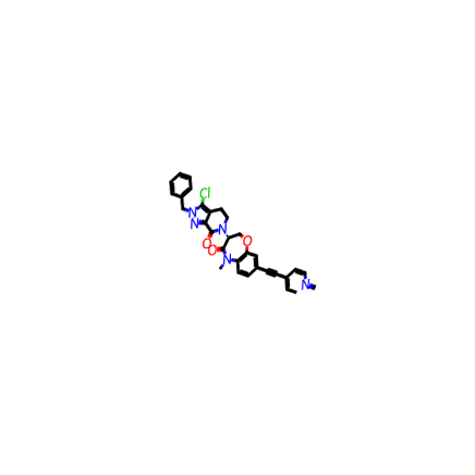 C=N/C=C\C(C#Cc1ccc2c(c1)OC[C@@H](N1CCc3c(nn(Cc4ccccc4)c3Cl)C1=O)C(=O)N2C)=C/C